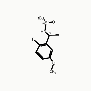 C[C@H](N[S@@+]([O-])C(C)(C)C)c1cc(OC(F)(F)F)ccc1F